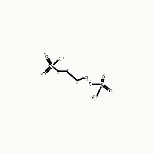 CCCS(=O)(=O)Cl.O=S(=O)(Cl)CCCCl